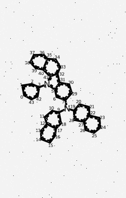 c1ccc(-n2c3cc(N(c4ccc5ccccc5c4)c4ccc5ccccc5c4)ccc3c3ccc4ccccc4c32)cc1